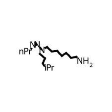 CCC/N=N\N(CCCCCCCN)CCCC(C)C